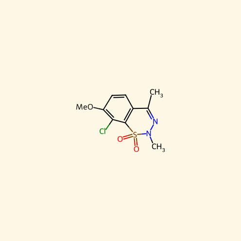 COc1ccc2c(c1Cl)S(=O)(=O)N(C)N=C2C